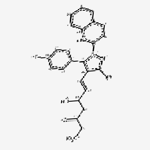 CC(C)c1nn(-c2ccc3ccccc3n2)c(-c2ccc(F)cc2)c1C=CC(O)CC(=O)CC(=O)O